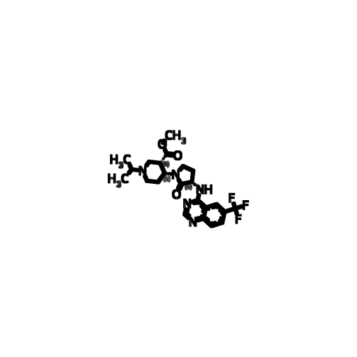 COC(=O)[C@H]1CN(C(C)C)CC[C@@H]1N1CC[C@H](Nc2ncnc3ccc(C(F)(F)F)cc23)C1=O